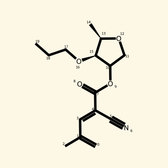 C=C(C)/C=C(\C#N)C(=O)OC1CO[C@H](C)[C@@H]1OCCC